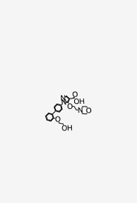 O=C(O)c1cnn(-c2ccc(-c3ccccc3OCCO)cc2)c1OCCN1CCOCC1